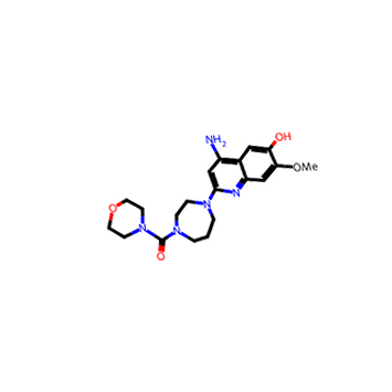 COc1cc2nc(N3CCCN(C(=O)N4CCOCC4)CC3)cc(N)c2cc1O